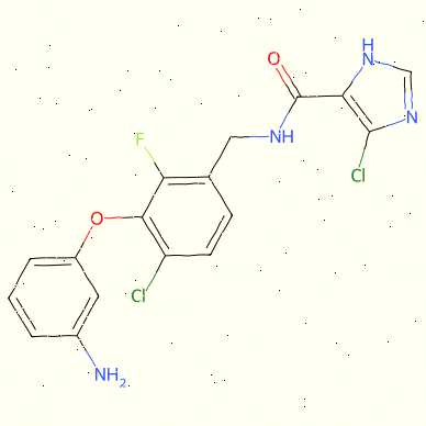 Nc1cccc(Oc2c(Cl)ccc(CNC(=O)c3[nH]cnc3Cl)c2F)c1